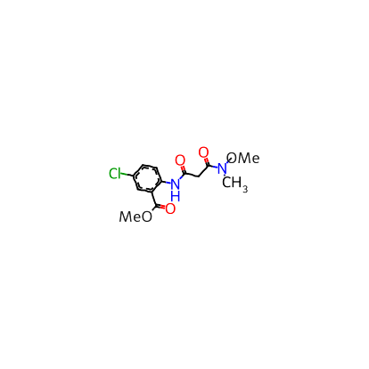 COC(=O)c1cc(Cl)ccc1NC(=O)CC(=O)N(C)OC